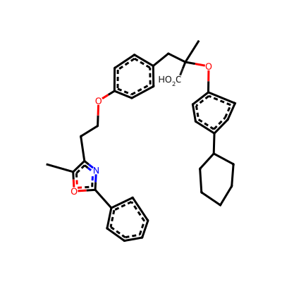 Cc1oc(-c2ccccc2)nc1CCOc1ccc(CC(C)(Oc2ccc(C3CCCCC3)cc2)C(=O)O)cc1